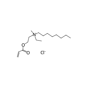 C=CC(=O)OCC[N+](C)(CC)CCCCCCCC.[Cl-]